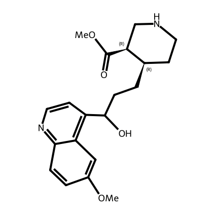 COC(=O)[C@H]1CNCC[C@H]1CCC(O)c1ccnc2ccc(OC)cc12